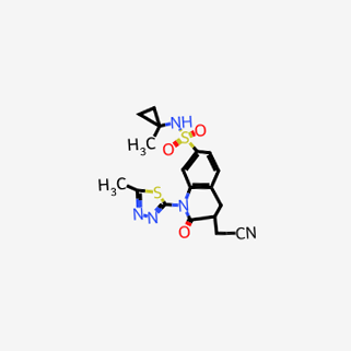 Cc1nnc(N2C(=O)C(CC#N)Cc3ccc(S(=O)(=O)NC4(C)CC4)cc32)s1